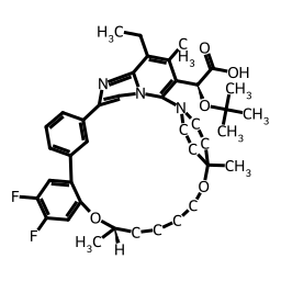 CCc1c(C)c([C@H](OC(C)(C)C)C(=O)O)c2n3cc(nc13)-c1cccc(c1)-c1cc(F)c(F)cc1O[C@@H](C)CCCCOC1(C)CCN2CC1